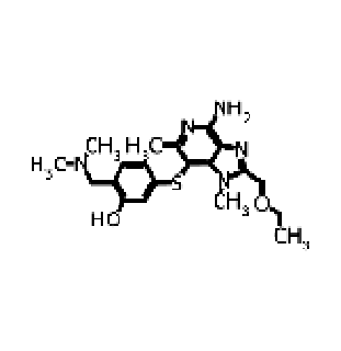 CCOCc1nc2c(N)nc(C)c(Sc3ccc(CN(C)C)c(O)c3)c2n1C